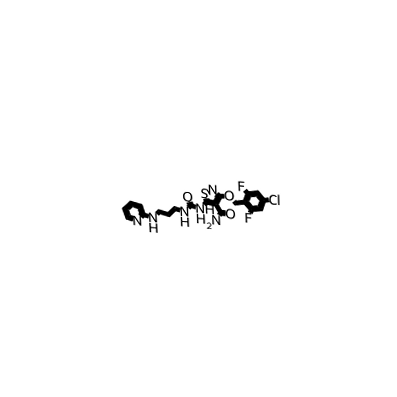 NC(=O)c1c(OCc2c(F)cc(Cl)cc2F)nsc1NC(=O)NCCCNc1ccccn1